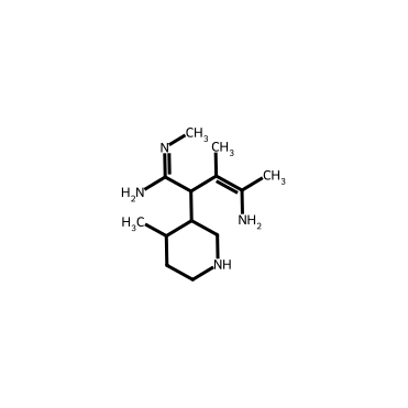 C/N=C(/N)C(/C(C)=C(/C)N)C1CNCCC1C